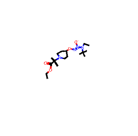 CCOC(=O)C(C)(C)N1CCC(O/N=[N+](\[O-])N(CC)C(C)(C)C)CC1